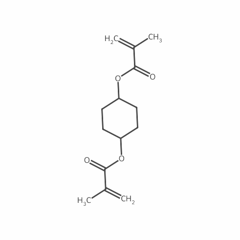 C=C(C)C(=O)OC1CCC(OC(=O)C(=C)C)CC1